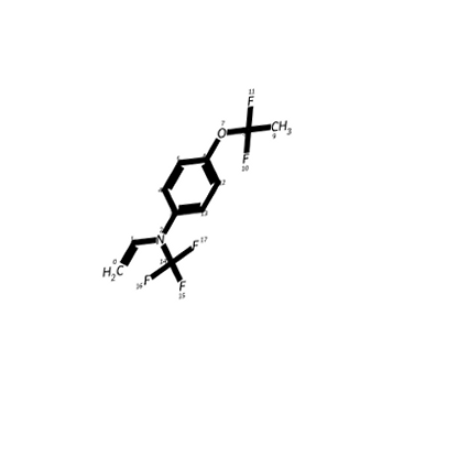 C=CN(c1ccc(OC(C)(F)F)cc1)C(F)(F)F